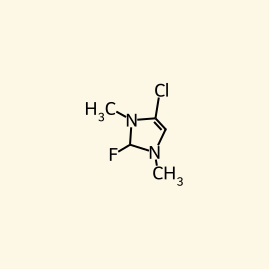 CN1C=C(Cl)N(C)C1F